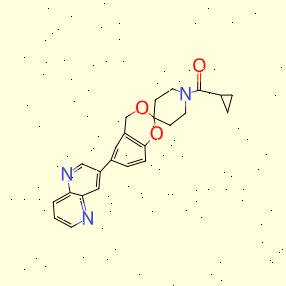 O=C(C1CC1)N1CCC2(CC1)OCc1cc(-c3cnc4cccnc4c3)ccc1O2